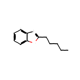 CCCCCc1bc2ccccc2o1